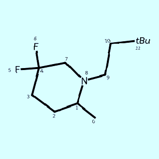 CC1CCC(F)(F)CN1CCC(C)(C)C